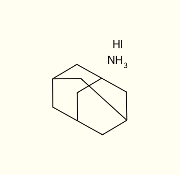 C1C2CC3CC1CC(C2)C3.I.N